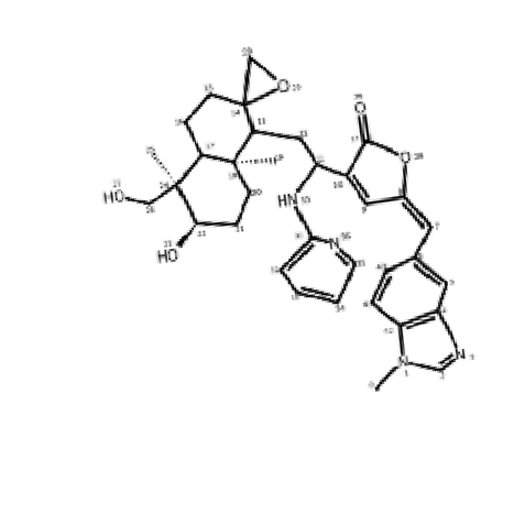 Cn1cnc2cc(/C=C3\C=C(C(CC4C5(CCC6[C@]4(C)CC[C@@H](O)[C@@]6(C)CO)CO5)Nc4ccccn4)C(=O)O3)ccc21